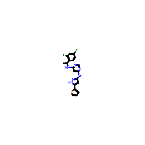 CC(Nc1cc(Nc2cc(-c3cccs3)[nH]n2)ncn1)c1ccc(F)cc1F